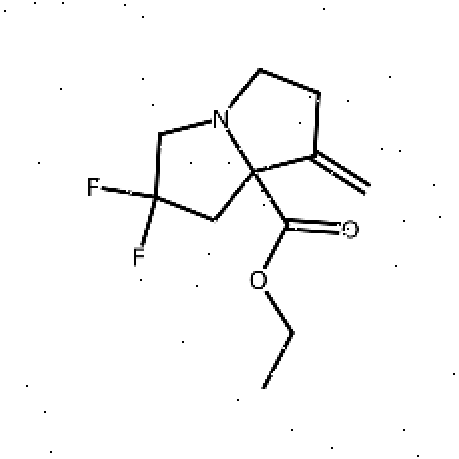 C=C1CCN2CC(F)(F)CC12C(=O)OCC